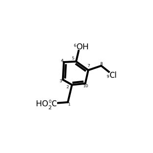 O=C(O)Cc1ccc(O)c(CCl)c1